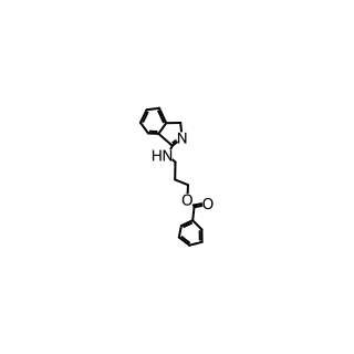 O=C(OCCCNC1=NCc2ccccc21)c1ccccc1